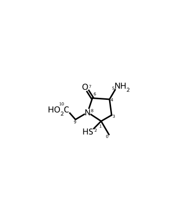 CC1(S)CC(N)C(=O)N1CC(=O)O